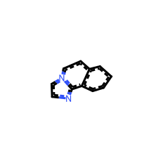 c1ccc2c(c1)ccn1ccnc21